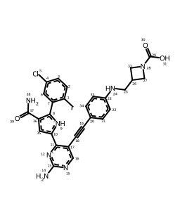 Cc1ccc(Cl)cc1-c1[nH]c(-c2nc(N)ncc2C#Cc2ccc(NCC3CN(C(=O)O)C3)cc2)cc1C(N)=O